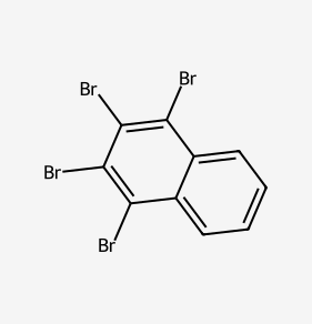 Brc1c(Br)c(Br)c2ccccc2c1Br